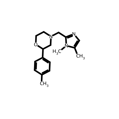 Cc1ccc(C2CN(Cc3ncc(C)n3C)CCO2)cc1